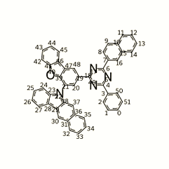 c1ccc(-c2nc(-c3ccc4ccccc4c3)nc(-c3cc(-n4c5ccccc5c5cc6ccccc6cc54)c4oc5ccccc5c4c3)n2)cc1